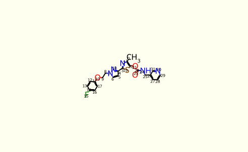 Cc1nc(-c2ccn(CCOc3ccc(F)cc3)n2)sc1OC(=O)NCc1cccnc1